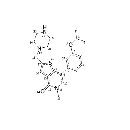 CC(C)Oc1cccc(-c2cn(C)c(=O)c3cc(CN4CCNCC4)sc23)c1